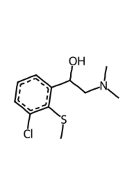 CSc1c(Cl)cccc1C(O)CN(C)C